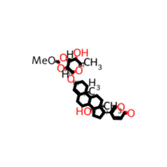 COC1O[C@H]2[C@H](O[C@@H]3C=C4CCC5C(CC[C@]6(C)[C@@H](c7ccc(=O)oc7)CC[C@]56O)[C@@]4(C)CC3)O[C@@H](C)C(O)[C@H]2O1